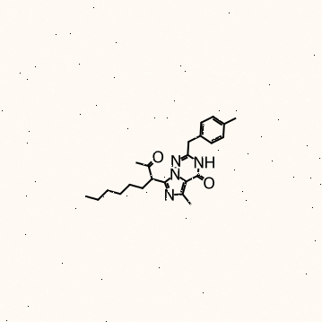 CCCCCCC(C(C)=O)c1nc(C)c2c(=O)[nH]c(Cc3ccc(C)cc3)nn12